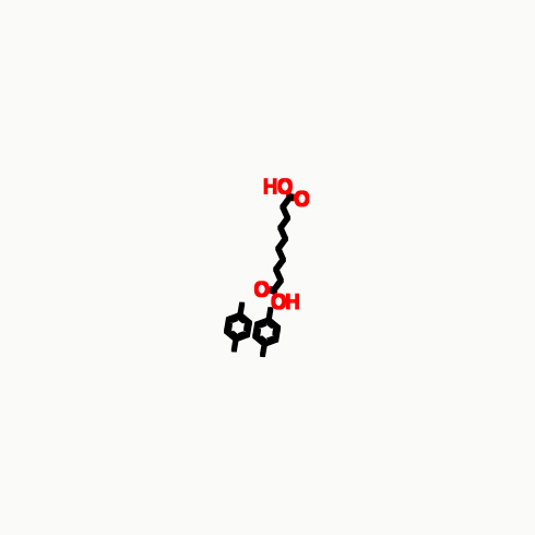 Cc1ccc(C)cc1.Cc1ccc(C)cc1.O=C(O)CCCCCCCCC(=O)O